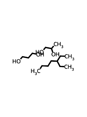 CC(O)CO.CCCCC(CC)CC.OCCCO